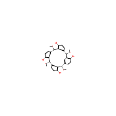 CCC1c2ccc(C(=O)OC)c(c2)C(CC)c2ccc(C(=O)OC)c(c2)C(CC)c2ccc(C(=O)OC)c(c2)C(CC)c2ccc(C(=O)OC)c1c2